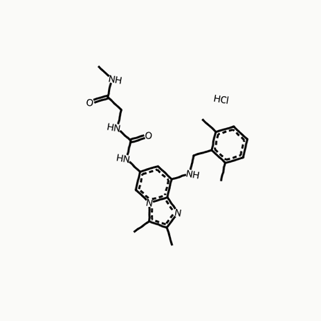 CNC(=O)CNC(=O)Nc1cc(NCc2c(C)cccc2C)c2nc(C)c(C)n2c1.Cl